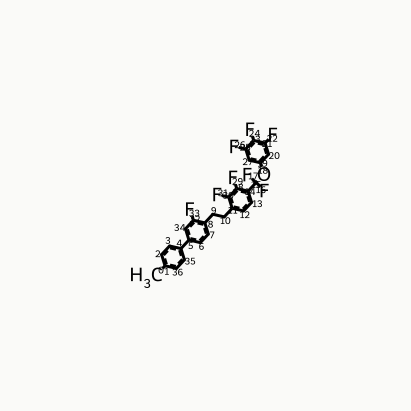 Cc1ccc(-c2ccc(CCc3ccc(C(F)(F)Oc4cc(F)c(F)c(F)c4)c(F)c3F)c(F)c2)cc1